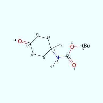 CN(C(=O)OC(C)(C)C)C1(C)CCC(=O)CC1